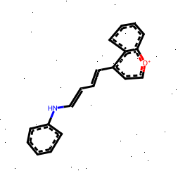 C(C=Cc1cc[o+]c2ccccc12)=CNc1ccccc1